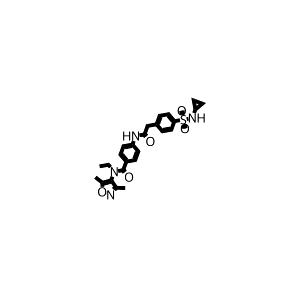 CCN(C(=O)c1ccc(NC(=O)Cc2ccc(S(=O)(=O)NC3CC3)cc2)cc1)c1c(C)noc1C